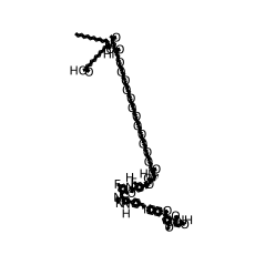 CCCCCCCCCCCN(C(=O)CCCCCCCCCC(=O)O)C(CCC(=O)NCCOCCOCCOCCOCCOCCOCCOCCOCCOCCOCCOCCOCCC(=O)N[C@@H](C)CC(=O)OC(C)(C)c1ccc(C(=O)Nc2cc(F)cc(-c3ncnc4[nH]c(-c5ccc(CCN6CCC7(CC6)CCN(C(=O)c6ccc(OC)c(N8CCC(=O)NC8=O)c6)CC7)cc5)cc34)c2C)c(F)c1)C(C)=O